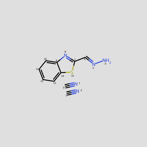 C#N.C#N.NN=Cc1nc2ccccc2s1